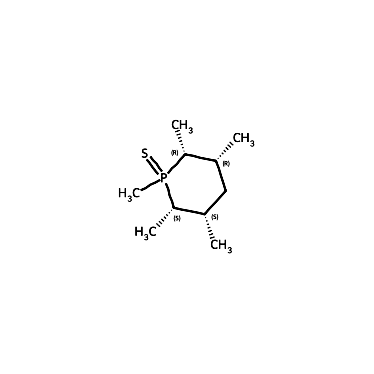 C[C@@H]1C[C@H](C)[C@H](C)P(C)(=S)[C@@H]1C